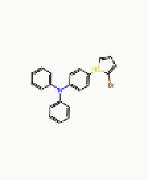 BrC1=CC=C[SH]1c1ccc(N(c2ccccc2)c2ccccc2)cc1